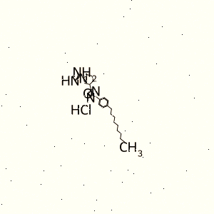 CCCCCCCCCCc1ccc(-c2noc(C3CCCN(C(=N)N)C3)n2)cc1.Cl